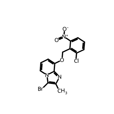 Cc1nc2c(OCc3c(Cl)cccc3[N+](=O)[O-])cccn2c1Br